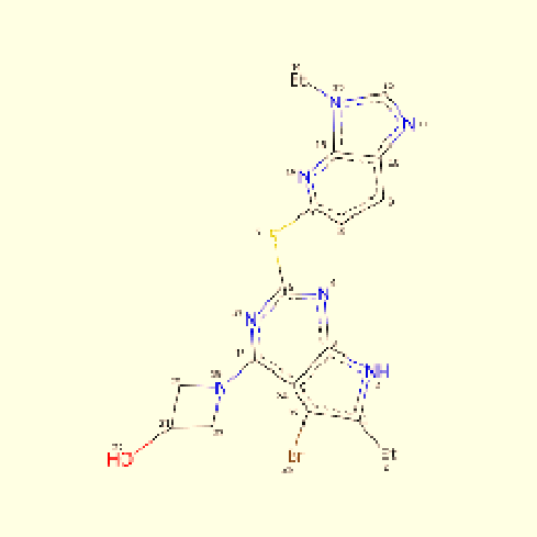 CCc1[nH]c2nc(Sc3ccc4ncn(CC)c4n3)nc(N3CC(O)C3)c2c1Br